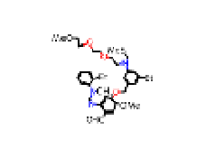 CCc1cc(COc2cc(/N=C\N(C)c3ccccc3CC)c(C=O)cc2OC)cc(N(CCOCCOCCOC)CSC)c1